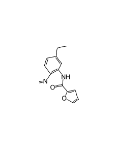 C=Nc1ccc(CC)cc1NC(=O)c1ccco1